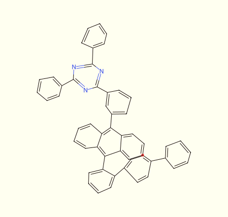 c1ccc(-c2ccc(-c3ccccc3-c3c4ccccc4c(-c4cccc(-c5nc(-c6ccccc6)nc(-c6ccccc6)n5)c4)c4ccccc34)cc2)cc1